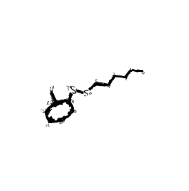 CCCCCCSSc1ccccc1C